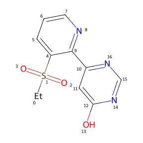 CCS(=O)(=O)c1cccnc1-c1cc(O)ncn1